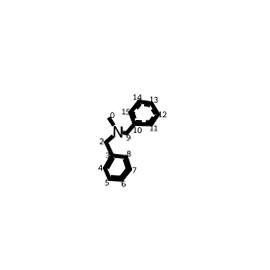 CN(CC1=CC=C=C=C1)Cc1ccccc1